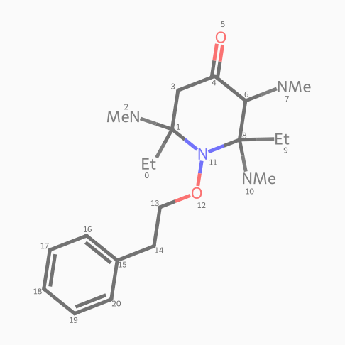 CCC1(NC)CC(=O)C(NC)C(CC)(NC)N1OCCc1ccccc1